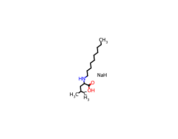 CCCCCCCCCCNC(CC(C)C)C(=O)O.[NaH]